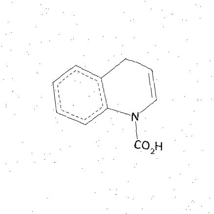 O=C(O)N1C=CCc2ccccc21